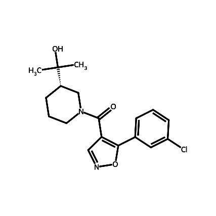 CC(C)(O)[C@H]1CCCN(C(=O)c2cnoc2-c2cccc(Cl)c2)C1